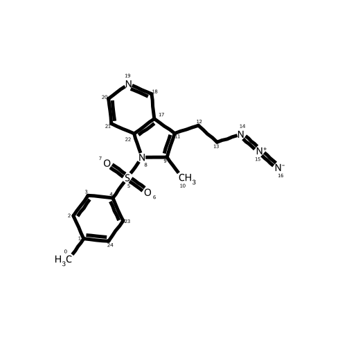 Cc1ccc(S(=O)(=O)n2c(C)c(CCN=[N+]=[N-])c3cnccc32)cc1